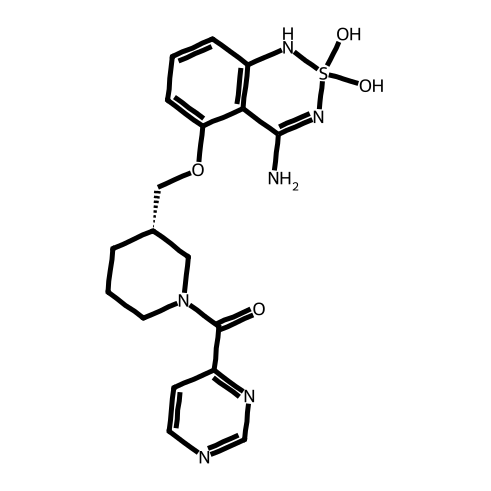 NC1=NS(O)(O)Nc2cccc(OC[C@H]3CCCN(C(=O)c4ccncn4)C3)c21